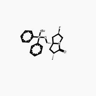 C[C@@H]1C[C@@]2(CO[Si](c3ccccc3)(c3ccccc3)C(C)(C)C)C[C@@H](F)CN2C1=O